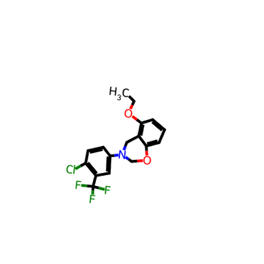 CCOc1cccc2c1CN(c1ccc(Cl)c(C(F)(F)F)c1)CO2